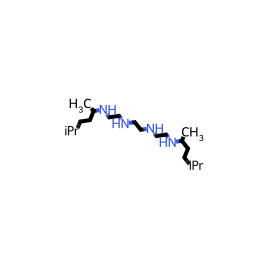 CC(C)CCC(C)NCCNCCNCCNC(C)CCC(C)C